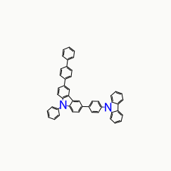 c1ccc(-c2ccc(-c3ccc4c(c3)c3cc(-c5ccc(-n6c7ccccc7c7ccccc76)cc5)ccc3n4-c3ccccc3)cc2)cc1